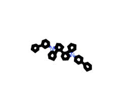 c1ccc(-c2ccc(-n3c4ccccc4c4c(-c5cccc6c5c5ccccc5n6-c5cccc(-c6ccccc6)c5)cccc43)cc2)cc1